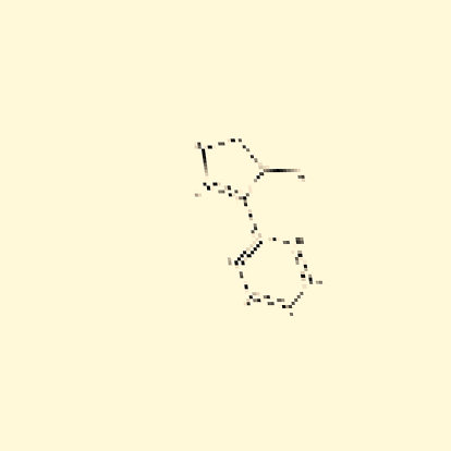 CC1CCN=C1c1ccccc1